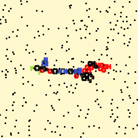 CC[C@@H](C(C)OC(=O)OC(C)OC(=O)CCOP(=O)(O)O)n1ncn(-c2ccc(N3CCN(c4ccc(OC[C@@H]5CO[C@@](Cn6cncn6)(c6ccc(F)cc6F)C5)cc4)CC3)cc2)c1=O